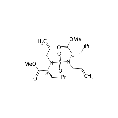 C=CCN([C@@H](CC(C)C)C(=O)OC)S(=O)(=O)N(CC=C)[C@@H](CC(C)C)C(=O)OC